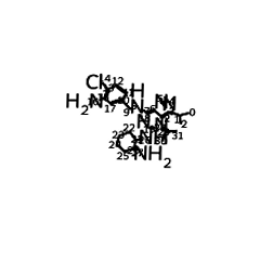 CC(C)c1nnc2c(NCc3ccc(Cl)c(N)c3)nc(NC3CCCCC3N)n(C(C)C)c1-2